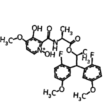 COc1ccc(F)c(C(c2cc(OC)ccc2F)[C@H](C)OC(=O)[C@H](C)NC(=O)c2c(O)c(OC)cc[n+]2O)c1